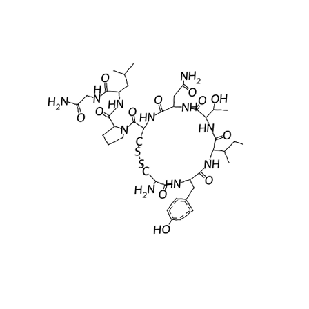 CCC(C)C1NC(=O)C(Cc2ccc(O)cc2)NC(=O)C(N)CSSCC(C(=O)N2CCCC2C(=O)NC(CC(C)C)C(=O)NCC(N)=O)NC(=O)C(CC(N)=O)NC(=O)C(C(C)O)NC1=O